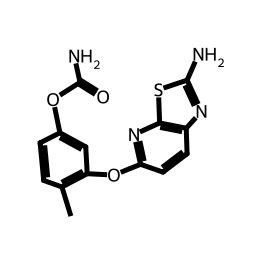 Cc1ccc(OC(N)=O)cc1Oc1ccc2nc(N)sc2n1